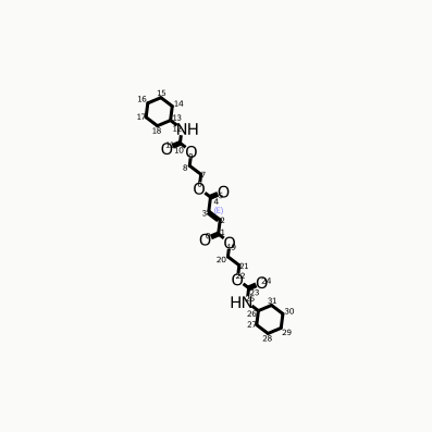 O=C(/C=C/C(=O)OCCOC(=O)NC1CCCCC1)OCCOC(=O)NC1CCCCC1